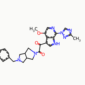 COc1cnc(-n2cnc(C)n2)c2[nH]cc(C(=O)C(=O)N3CC4CN(Cc5ccccc5)CC4C3)c12